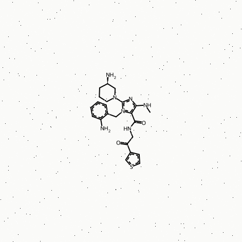 CNc1nc(N2CCC[C@@H](N)C2)n(Cc2ccccc2N)c1C(=O)NCC(=O)c1ccsc1